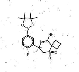 CC1(C)OB(c2ccc(F)c([C@]3(C)CS(=O)(=O)C4(CCC4)C(N)=N3)c2)OC1(C)C